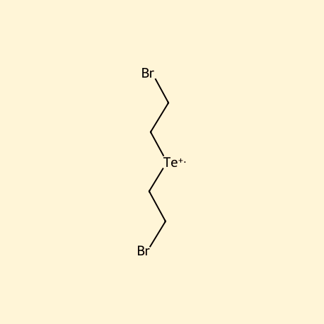 BrCC[Te+]CCBr